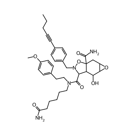 CCCC#Cc1ccc(CN2OC3(C(N)=O)CC4OC4C(O)C3C2C(=O)N(CCCCCC(N)=O)CCc2ccc(OC)cc2)cc1